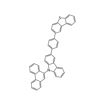 c1ccc2c(c1)cc(-n1c3ccccc3c3cc(-c4ccc(-c5ccc6sc7ccccc7c6c5)cc4)ccc31)c1ccccc12